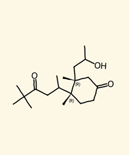 CC(O)C[C@]1(C)CC(=O)CC[C@]1(C)C(C)CC(=O)C(C)(C)C